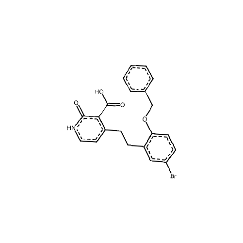 O=C(O)c1c(CCc2cc(Br)ccc2OCc2ccccc2)cc[nH]c1=O